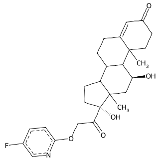 CC12CCC(=O)C=C1CCC1C2[C@@H](O)CC2(C)C1CC[C@]2(O)C(=O)COc1ccc(F)cn1